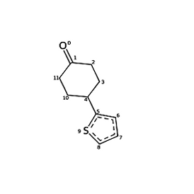 O=C1CCC(c2cccs2)CC1